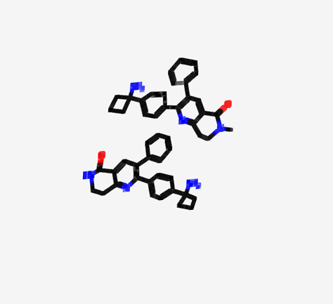 CN1CCc2nc(-c3ccc(C4(N)CCC4)cc3)c(-c3ccccc3)cc2C1=O.NC1(c2ccc(-c3nc4c(cc3-c3ccccc3)C(=O)NCC4)cc2)CCC1